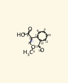 CO/C=C(/C(=O)O)c1ccccc1C=O